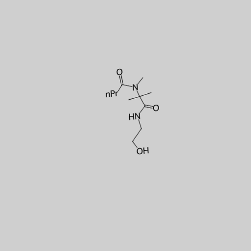 CCCC(=O)N(C)C(C)(C)C(=O)NCCO